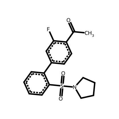 CC(=O)c1ccc(-c2ccccc2S(=O)(=O)N2CCCC2)cc1F